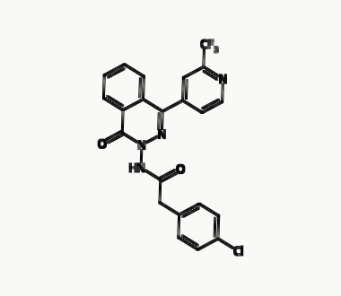 O=C(Cc1ccc(Cl)cc1)Nn1nc(-c2ccnc(C(F)(F)F)c2)c2ccccc2c1=O